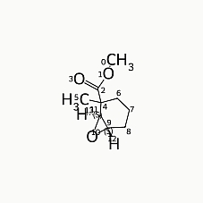 COC(=O)C1(C)CCC[C@@H]2O[C@H]21